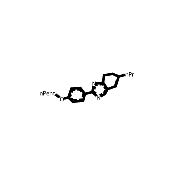 CCCCCOc1ccc(-c2ncc3c(n2)CCC(CCC)C3)cc1